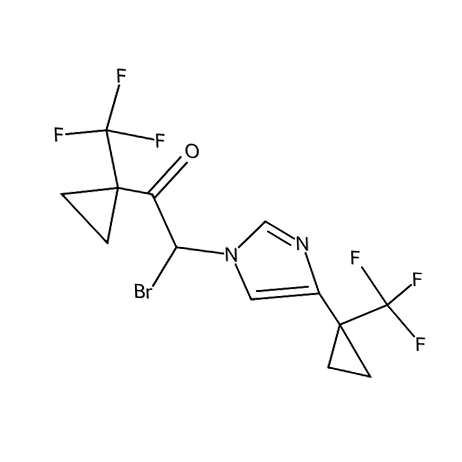 O=C(C(Br)n1cnc(C2(C(F)(F)F)CC2)c1)C1(C(F)(F)F)CC1